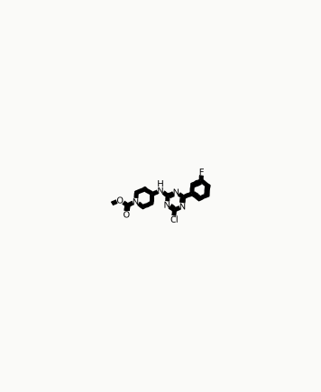 COC(=O)N1CCC(Nc2nc(Cl)nc(-c3cccc(F)c3)n2)CC1